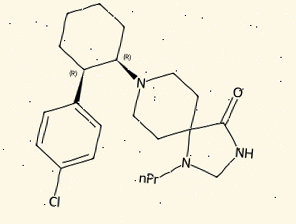 CCCN1CNC(=O)C12CCN([C@@H]1CCCC[C@@H]1c1ccc(Cl)cc1)CC2